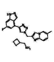 Cc1ccc2nc(Cn3cc(-c4cc(F)cc5[nH]ncc45)nn3)cn2c1.NCC1CCC1